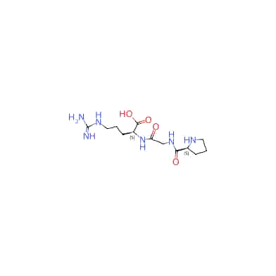 N=C(N)NCCC[C@H](NC(=O)CNC(=O)[C@@H]1CCCN1)C(=O)O